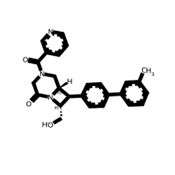 Cc1cccc(-c2ccc(C3[C@H]4CN(C(=O)c5cccnc5)CC(=O)N4[C@H]3CO)cc2)c1